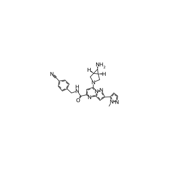 Cn1nccc1-c1cc2nc(C(=O)NCc3ccc(C#N)cc3)cc(N3C[C@@H]4[C@@H](N)[C@@H]4C3)n2n1